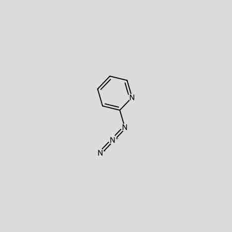 [N-]=[N+]=Nc1ccccn1